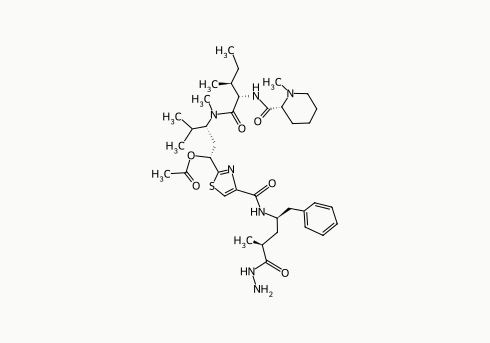 CC[C@H](C)[C@H](NC(=O)[C@H]1CCCCN1C)C(=O)N(C)[C@H](C[C@@H](OC(C)=O)c1nc(C(=O)N[C@@H](Cc2ccccc2)C[C@H](C)C(=O)NN)cs1)C(C)C